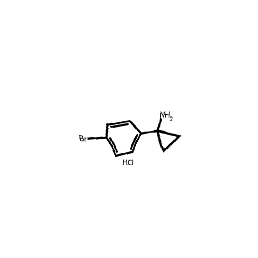 Cl.NC1(c2ccc(Br)cc2)CC1